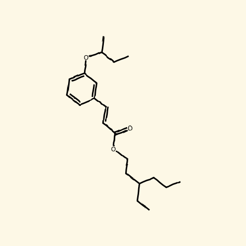 CCCC(CC)CCOC(=O)/C=C/c1cccc(OC(C)CC)c1